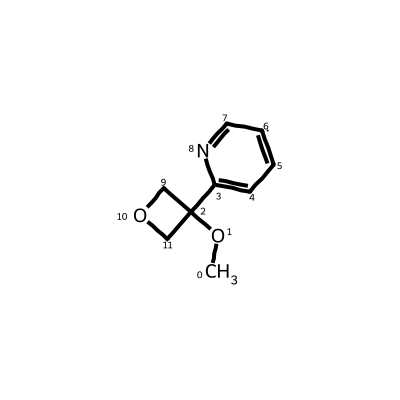 COC1(c2cc[c]cn2)COC1